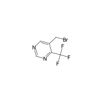 FC(F)(F)c1ncncc1CBr